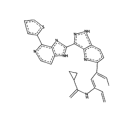 C=C/C(=C\C(=C/C)c1ccc2[nH]nc(-c3nc4c(-c5cccs5)nccc4[nH]3)c2n1)NC(=C)C1CC1